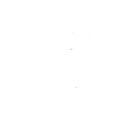 c1ccc(-c2cccc(N(c3cccc(-c4ccccc4)c3)c3cccc(-c4ccccc4-c4ccccc4-c4cccc(-c5nc(-c6ccccc6)nc(-c6ccccc6)n5)c4)c3)c2)cc1